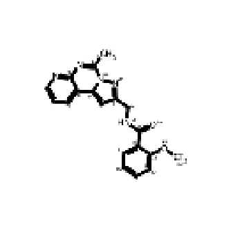 Cc1nc2ncccc2c2cc(CNC(=O)c3ccccc3OC(F)(F)F)nn12